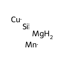 [Cu].[MgH2].[Mn].[Si]